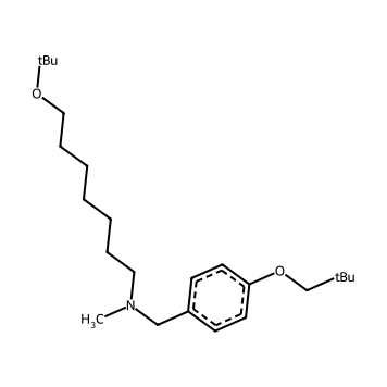 CN(CCCCCCCOC(C)(C)C)Cc1ccc(OCC(C)(C)C)cc1